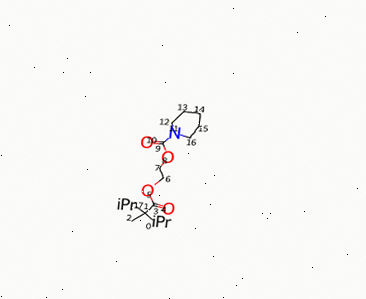 CC(C)C(C)(C(=O)OCCOC(=O)N1CCCCC1)C(C)C